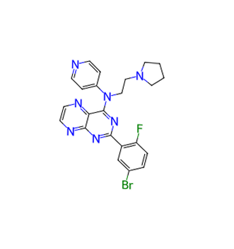 Fc1ccc(Br)cc1-c1nc(N(CCN2CCCC2)c2ccncc2)c2nccnc2n1